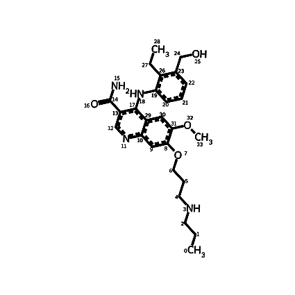 CCCNCCCOc1cc2ncc(C(N)=O)c(Nc3cccc(CO)c3CC)c2cc1OC